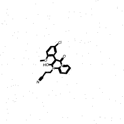 COc1ccc(Cl)cc1-c1c(O)n(CCC#N)c2cccc[n+]2c1=O